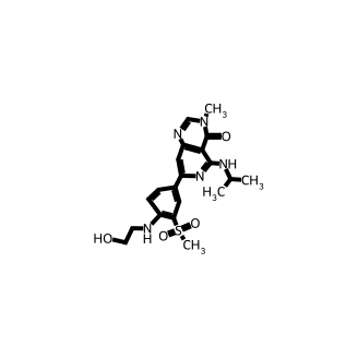 CC(C)Nc1nc(-c2ccc(NCCO)c(S(C)(=O)=O)c2)cc2ncn(C)c(=O)c12